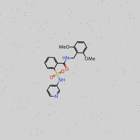 COc1cccc(OC)c1CNC(=O)c1ccccc1S(=O)(=O)Nc1cccnc1